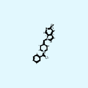 O=C(c1ccccc1)N1CCC(Cn2ccc3cc(Br)ncc32)CC1